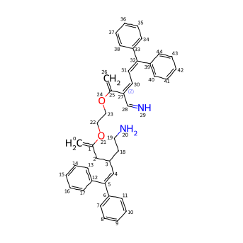 C=C(CC(C=C(c1ccccc1)c1ccccc1)CCN)OCCOC(=C)/C(C=N)=C\C=C(c1ccccc1)c1ccccc1